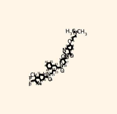 CN(C)CCCOc1ccc2c(=O)n(CC3(O)CCN(C(=O)[C@H](CCCNC(=O)c4ccc5c(Cl)c(C(F)F)cnc5c4)Cc4ccccc4)CC3)cnc2c1